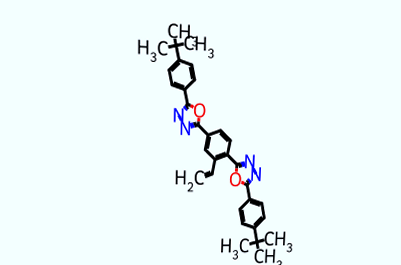 C=Cc1cc(-c2nnc(-c3ccc(C(C)(C)C)cc3)o2)ccc1-c1nnc(-c2ccc(C(C)(C)C)cc2)o1